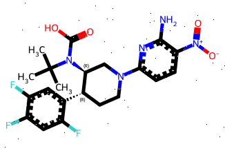 CC(C)(C)N(C(=O)O)[C@H]1CN(c2ccc([N+](=O)[O-])c(N)n2)CC[C@@H]1c1cc(F)c(F)cc1F